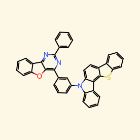 c1ccc(-c2nc(-c3cccc(-n4c5ccccc5c5c6sc7ccccc7c6ccc54)c3)c3oc4ccccc4c3n2)cc1